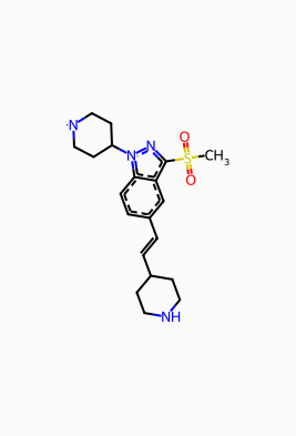 CS(=O)(=O)c1nn(C2CC[N]CC2)c2ccc(/C=C/C3CCNCC3)cc12